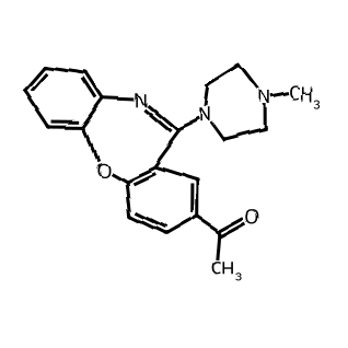 CC(=O)c1ccc2c(c1)C(N1CCN(C)CC1)=Nc1ccccc1O2